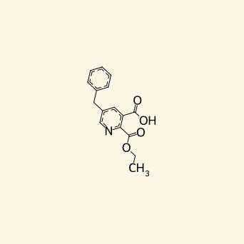 CCOC(=O)c1ncc(Cc2ccccc2)cc1C(=O)O